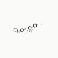 COc1ccc(-c2ccc(NC(=O)c3ccc(OC4CCCCC4)cc3)nn2)cc1.O=C(O)O